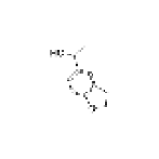 CC(O)c1ccc2c(c1)CCO2